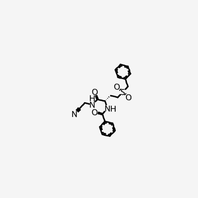 N#CCNC(=O)[C@H](CCS(=O)(=O)Cc1ccccc1)NC(=O)c1ccccc1